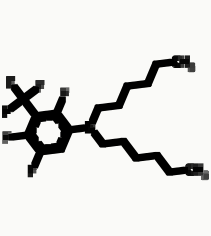 CCCCCCN(CCCCCC)c1cc(F)c(F)c(C(F)(F)F)c1F